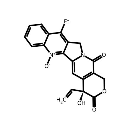 C=C[C@@]1(O)C(=O)OCc2c1cc1n(c2=O)Cc2c(CC)c3ccccc3[n+]([O-])c2-1